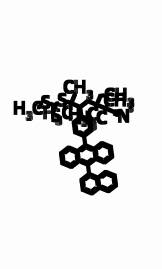 CCC(C)(SC(=S)SC)C(CC(C)(CC)C(C)(C)C#N)c1ccc(-c2c3ccccc3c(-c3cccc4ccccc34)c3ccccc23)cc1